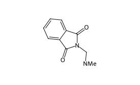 CNCN1C(=O)c2ccccc2C1=O